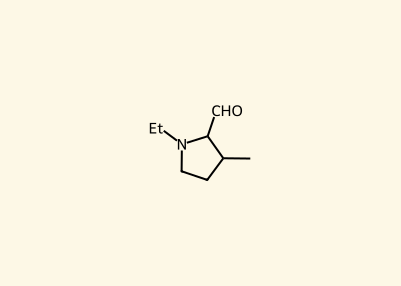 CCN1CCC(C)C1C=O